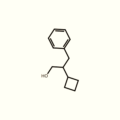 OCC(Cc1ccccc1)C1CCC1